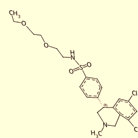 CCOCCOCCNS(=O)(=O)c1ccc([C@H]2CN(C)Cc3c(Cl)cc(Cl)cc32)cc1